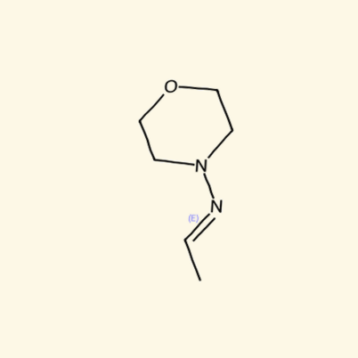 C/C=N/N1CCOCC1